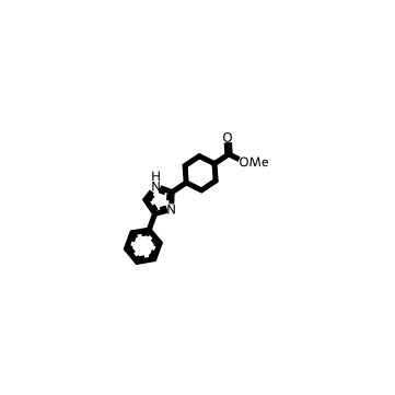 COC(=O)C1CCC(c2nc(-c3ccccc3)c[nH]2)CC1